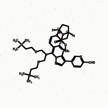 CCO/C=C\c1c([C@H]2C[C@H]3CC[C@@H](C2)N3C(=O)OC(C)(C)C)nc2c(-c3ccc(C=O)nc3)cnn2c1N(COCC[Si](C)(C)C)COCC[Si](C)(C)C